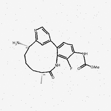 COC(=O)Nc1ccc2c(c1F)NC(=O)[C@H](C)CCC[C@H](N)c1cc-2ccn1